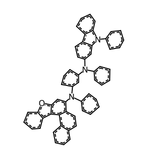 c1ccc(N(c2cccc(N(c3ccccc3)c3cc4oc5ccccc5c4c4c3ccc3ccccc34)c2)c2ccc3c4ccccc4n(-c4ccccc4)c3c2)cc1